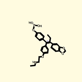 CCNCCOc1ccc(/C(=C(/CC)c2ccc3c(c2)OCO3)c2ccc(OP(O)O)cc2)cc1